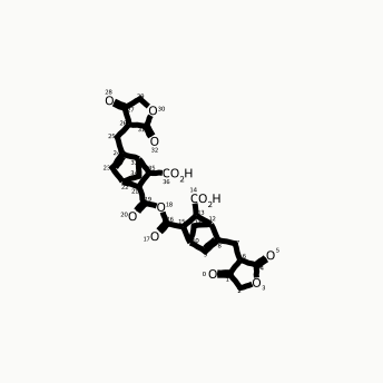 O=C1COC(=O)C1CC1=CC2CC1C(C(=O)O)C2C(=O)OC(=O)C1C2C=C(CC3C(=O)COC3=O)C(C2)C1C(=O)O